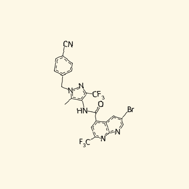 Cc1c(NC(=O)c2cc(C(F)(F)F)nc3ncc(Br)cc23)c(C(F)(F)F)nn1Cc1ccc(C#N)cc1